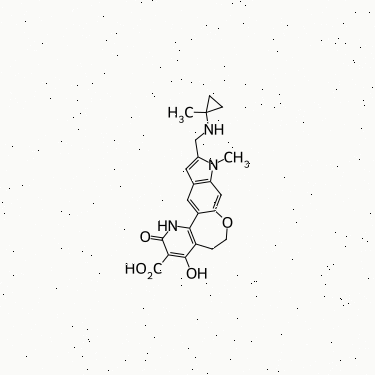 Cn1c(CNC2(C)CC2)cc2cc3c(cc21)OCCc1c-3[nH]c(=O)c(C(=O)O)c1O